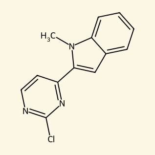 Cn1c(-c2ccnc(Cl)n2)cc2ccccc21